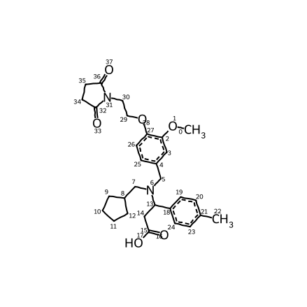 COc1cc(CN(CC2CCCC2)C(CC(=O)O)c2ccc(C)cc2)ccc1OCCN1C(=O)CCC1=O